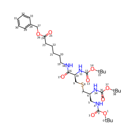 CC(C)(C)OC(=O)NC[C@@H](CSC[C@H](NC(=O)OC(C)(C)C)C(=O)NCCCCCC(=O)OCc1ccccc1)NC(=O)OC(C)(C)C